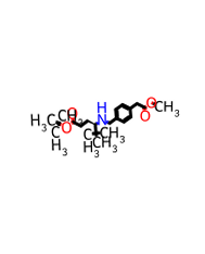 COC(=O)Cc1ccc(CN[C@H](CCC(=O)OC(C)(C)C)C(C)(C)C)cc1